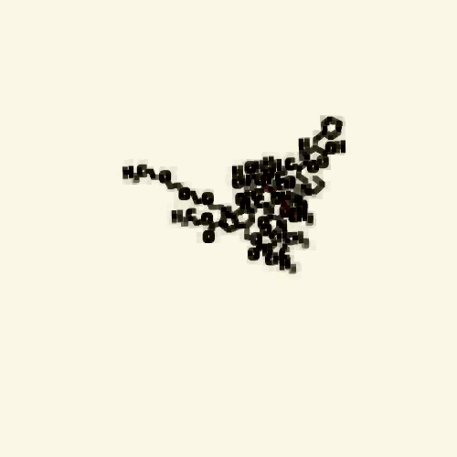 CCCOCCOCCOCCn1c(C(=O)OCC)cc2c(COC(=O)N(C)[C@H](C(=O)N[C@H](C(=O)N(C)[C@@H](C(C)CC)[C@@H](CC(=O)N3CCC[C@H]3[C@H](OC)[C@@H](C)C(=O)NC(Cc3ccccc3)C(=O)O)OC)C(C)C)C(C)C)ccc(O[C@@H]3O[C@H](CO)[C@H](O)[C@H](O)[C@H]3O)c21